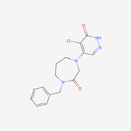 O=C1CN(c2cn[nH]c(=O)c2Cl)CCCN1Cc1ccccc1